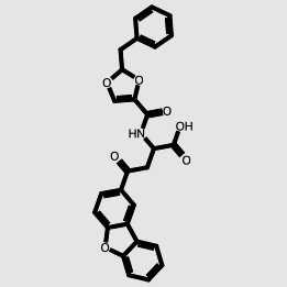 O=C(NC(CC(=O)c1ccc2oc3ccccc3c2c1)C(=O)O)C1=COC(Cc2ccccc2)O1